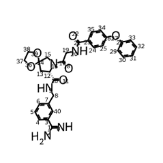 N=C(N)c1cccc(CNC(=O)[C@@H]2CC3(CN2C(=O)CNC(=O)c2ccc(Oc4ccccc4)cc2)OCCO3)c1